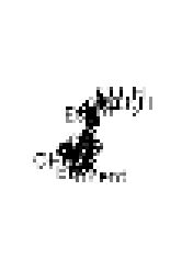 CCCCC[C@@H](C(=O)NCNC(=O)c1ccc(-c2ccc(C(=O)N[C@@H](CC(=O)O)C(=O)O)c(OCC)c2)o1)[C@@H](CC)N(C=O)OC(=O)c1ccccc1C